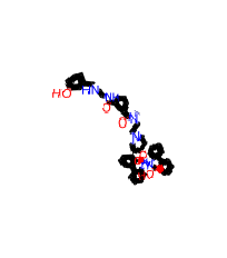 CN(CCN1CCC(OC(=O)N(c2ccccc2-c2ccccc2)N(C(=O)O)c2ccccc2-c2ccccc2)CC1)C(=O)c1cccc(C(=O)NCCNCc2cccc(O)c2)c1